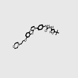 CC(C)(C)c1cc(NC(=O)Nc2ccc(N3C=CN4c5ccc(OCCN6CCOCC6)cc5SC34)cc2)no1